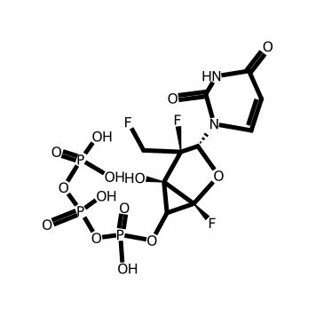 O=c1ccn([C@@H]2O[C@]3(F)C(OP(=O)(O)OP(=O)(O)OP(=O)(O)O)[C@]3(O)[C@]2(F)CF)c(=O)[nH]1